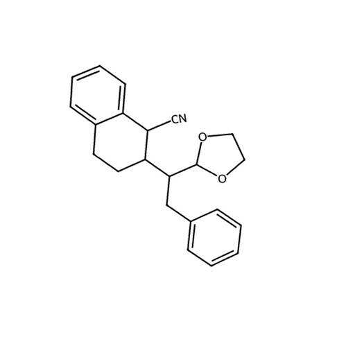 N#CC1c2ccccc2CCC1C(Cc1ccccc1)C1OCCO1